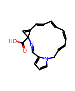 O=C(O)C12C=C1/C=C/C=C/C=C\C=C\Cn1cccc1/C=N/2